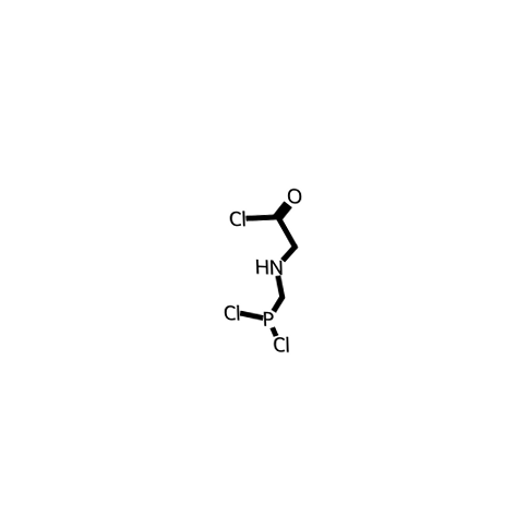 O=C(Cl)CNCP(Cl)Cl